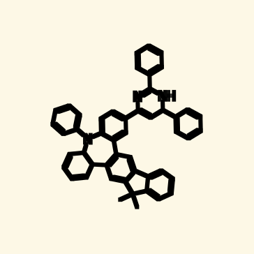 CC1(C)c2ccccc2-c2cc3c(cc21)C1C=CC=CC1N(c1ccccc1)c1ccc(C2=CC(c4ccccc4)NC(c4ccccc4)=N2)cc1-3